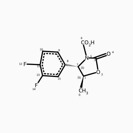 C[C@@H]1OC(=O)N(C(=O)O)[C@H]1c1ccc(F)c(F)c1